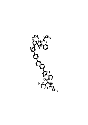 COC(=O)N[C@H](C(=O)N1CCC[C@H]1c1ncc(-c2ccc3cc(-c4ccc(-c5cnc([C@@H]6C[C@H](OC)CN6C(=O)[C@H](NC(=O)OC)c6ccccc6)[nH]5)cc4)ccc3c2)[nH]1)C(C)C